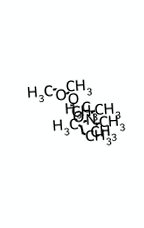 CC(C)N(C=O)C(C)C.CCCC.CCOC(C)OCC